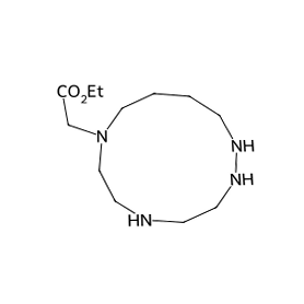 CCOC(=O)CN1CCCCNNCCNCC1